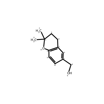 CC1(C)CCc2cc(CO)ccc2O1